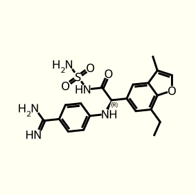 CCc1cc([C@@H](Nc2ccc(C(=N)N)cc2)C(=O)NS(N)(=O)=O)cc2c(C)coc12